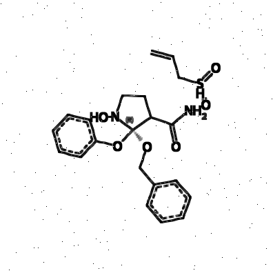 C=CC[SH](=O)=O.NC(=O)C1CCN(O)[C@]1(OCc1ccccc1)Oc1ccccc1